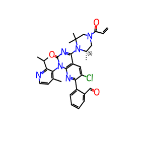 C=CC(=O)N1C[C@H](C)N(c2nc(=O)n(-c3c(C)ccnc3C(C)C)c3nc(-c4ccccc4C=O)c(Cl)cc23)C(C)(C)C1